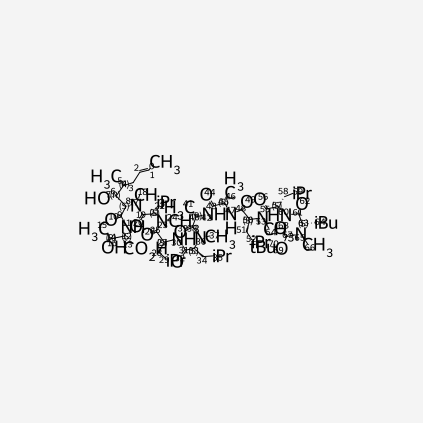 CC=CC[C@@H](C)[C@@H](O)[C@@H](C(=O)N[C@H](C(=O)O)[C@@H](C)O)N(C)C(=O)[C@H](C(C)C)N(C)C(=O)[C@H](CC(C)C)NC(=O)[C@H](CC(C)C)N(C)C(=O)[C@@H](C)NC(=O)[C@H](C)NC(=O)[C@H](CC(C)C)N(C)C(=O)[C@H](CC(C)C)NC(=O)[C@H](C(C)CC)N(C)C(=O)OC(C)(C)C